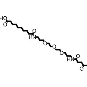 CC(=O)CCC(=O)NCCCOCCOCCOCCCNC(=O)CCCCCCCCC(=O)O